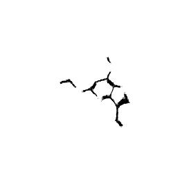 CCOc1cc(OC)c2scc(C=O)c2n1